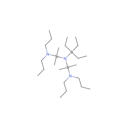 CCCN(CCC)[Si](C)(C)N([Si](CC)(CC)CC)[Si](C)(C)N(CCC)CCC